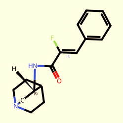 O=C(N[C@H]1CN2CCC1CC2)/C(F)=C/c1ccccc1